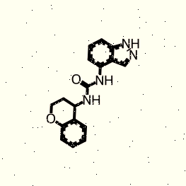 O=C(Nc1cccc2[nH]ncc12)NC1CCOc2ccccc21